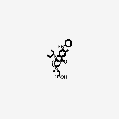 CCC(CC)n1c(=O)n(CC(=O)N(C)CC(=O)O)c(=O)c2cc(F)c(NC3CCCCC3)cc21